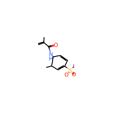 C=C(C)C(=O)NC1C=CC(S(=O)(=O)I)=CC1C